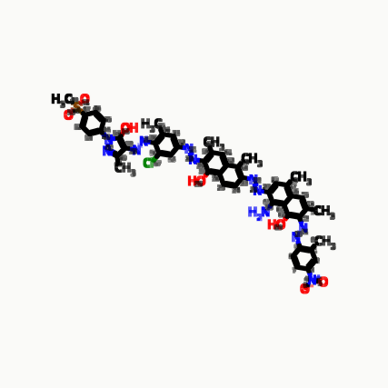 Cc1cc([N+](=O)[O-])ccc1/N=N/c1c(C)cc2c(C)cc(/N=N/c3ccc4c(O)c(/N=N/c5cc(C)c(/N=N/c6c(C)nn(-c7ccc(S(C)(=O)=O)cc7)c6O)c(Cl)c5)c(C)cc4c3C)c(N)c2c1O